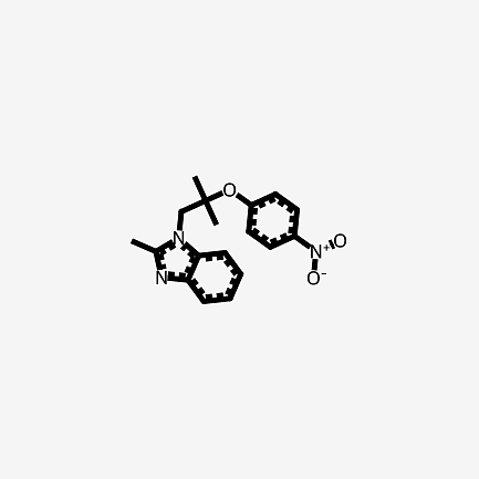 Cc1nc2ccccc2n1CC(C)(C)Oc1ccc([N+](=O)[O-])cc1